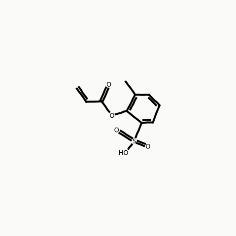 C=CC(=O)Oc1c(C)cccc1S(=O)(=O)O